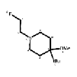 COC1(C(C)(C)C)CCN(CCF)CC1